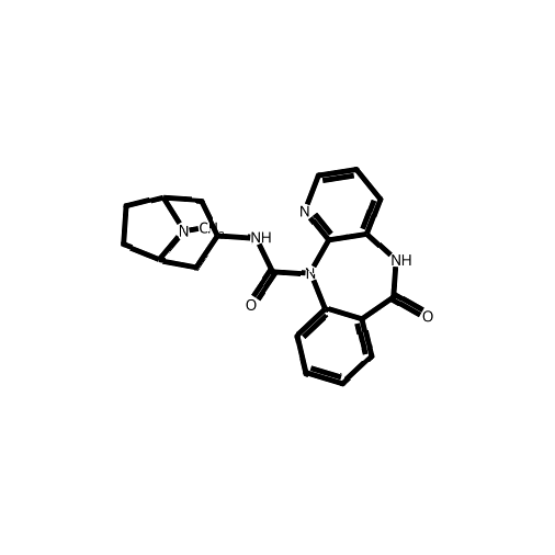 CN1C2CCC1CC(NC(=O)N1c3ccccc3C(=O)Nc3cccnc31)C2